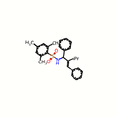 Cc1cc(C)c(S(=O)(=O)NC(C(=Cc2ccccc2)C(C)C)c2ccccc2)c(C)c1